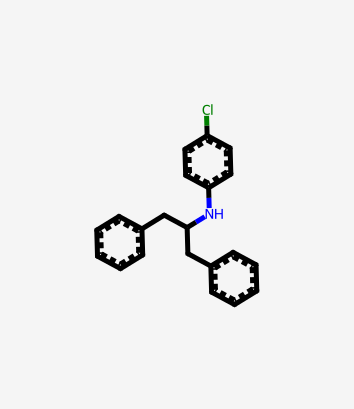 Clc1ccc(NC(Cc2ccccc2)Cc2ccccc2)cc1